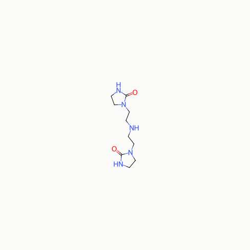 O=C1NCCN1CCNCCN1CCNC1=O